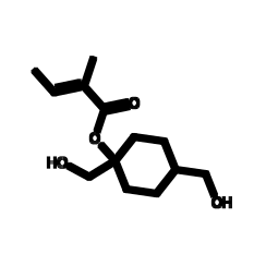 CC=C(C)C(=O)OC1(CO)CCC(CO)CC1